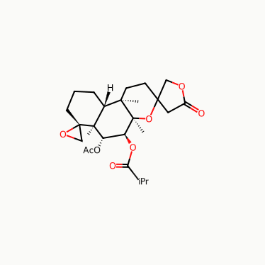 CC(=O)O[C@H]1[C@H](OC(=O)C(C)C)[C@]2(C)OC3(CC[C@]2(C)[C@H]2CCC[C@]4(CO4)[C@]12C)COC(=O)C3